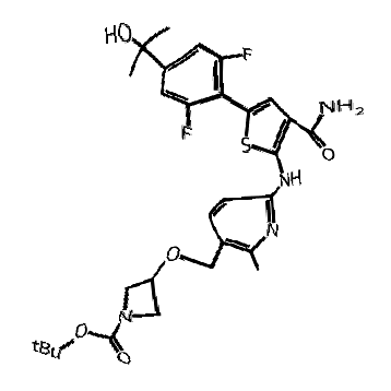 Cc1nc(Nc2sc(-c3c(F)cc(C(C)(C)O)cc3F)cc2C(N)=O)ccc1COC1CN(C(=O)OC(C)(C)C)C1